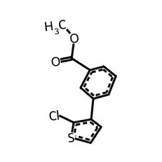 COC(=O)c1cccc(-c2ccsc2Cl)c1